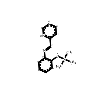 C[Si](C)(C)Oc1ccccc1N=Cc1ccncn1